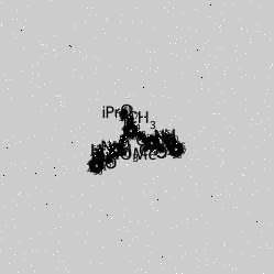 COc1cc2c(cc1OCc1cc(COc3cc4c(cc3C)C(=O)N3c5ccccc5C[C@H]3C=N4)cc(N(C)CC(=O)C(C)C)c1)N=C[C@@H]1Cc3ccccc3N1C2=O